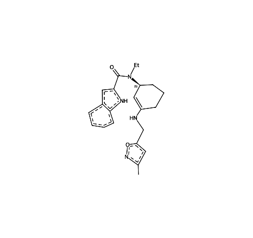 CCN(C(=O)c1cc2ccccc2[nH]1)[C@@H]1C=C(NCc2cc(C)no2)CCC1